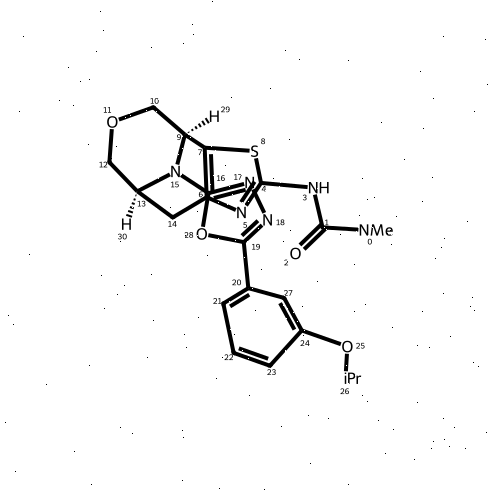 CNC(=O)Nc1nc2c(s1)[C@@H]1COC[C@H](C2)N1c1nnc(-c2cccc(OC(C)C)c2)o1